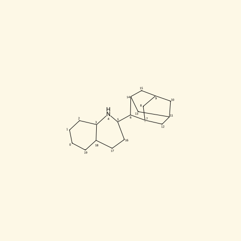 C1CCC2NC(C3[C]4CC5CC(C4)CC3C5)CCC2C1